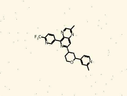 Cc1cc(C2CC(c3cc4nc(C)cnc4c(-c4ccc(C(F)(F)F)nc4)n3)CCO2)ccn1